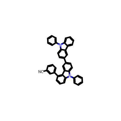 N#Cc1cccc(-c2cccc3c2c2cc(-c4ccc5c(c4)c4ccccc4n5-c4ccccc4)ccc2n3-c2ccccc2)c1